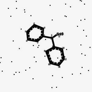 [SnH][N](c1ccccc1)c1ccccc1